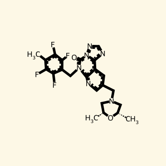 Cc1c(F)c(F)c(Cn2c(=O)n3ncnc3c3cc(CN4C[C@@H](C)O[C@@H](C)C4)cnc32)c(F)c1F